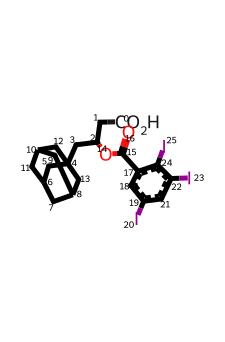 O=C(O)CC(CC12CC3CC(CC(C3)C1)C2)OC(=O)c1cc(I)cc(I)c1I